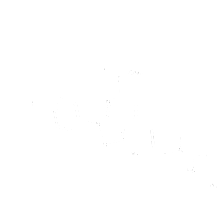 COC(=O)c1cc(C2=CCN(C(=O)NC(C)(C)C)CC2)c2c(C(C)C)nn(-c3ccc(F)cc3)c2n1